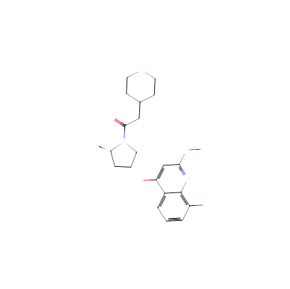 CCOc1cc(O[C@@H]2C[C@@H](C(=O)O)N(C(=O)[C@@H](C)C3CCOCC3)C2)c2cccc(Cl)c2n1